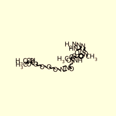 COC(=O)[C@H](CCC(=O)N1CCN(CCOCCOCCOCCOCC(=O)OC(C)(C)C)CC1)NC(=O)c1ccc(N(C)Cc2cnc3nc(N)[nH]c(=O)c3n2)cc1